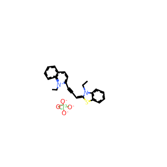 CCN1/C(=C\C#Cc2ccc3ccccc3[n+]2CC)Sc2ccccc21.[O-][Cl+3]([O-])([O-])[O-]